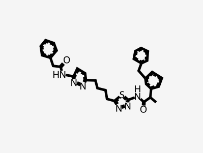 CC(C(=O)Nc1nnc(CCCCc2ccc(NC(=O)Cc3ccccc3)nn2)s1)c1cccc(Cc2ccccc2)c1